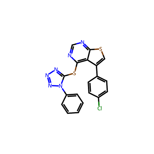 Clc1ccc(-c2csc3ncnc(Sc4nnnn4-c4ccccc4)c23)cc1